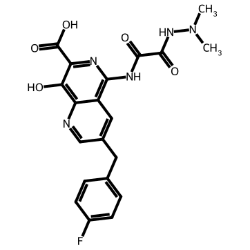 CN(C)NC(=O)C(=O)Nc1nc(C(=O)O)c(O)c2ncc(Cc3ccc(F)cc3)cc12